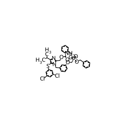 CC(C)c1nc(COC(N)=O)n(Cc2cccc(OCP(=O)(OCc3ccccc3)OCc3ccccc3)c2)c1Sc1cc(Cl)cc(Cl)c1